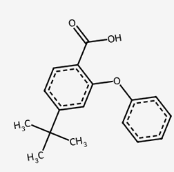 CC(C)(C)c1ccc(C(=O)O)c(Oc2ccccc2)c1